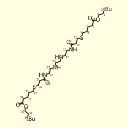 CC(C)(C)CCOC(=O)CCCCSCCC(=O)NCCNCCNCCNC(=O)CCSCCCCC(=O)OCCC(C)(C)C